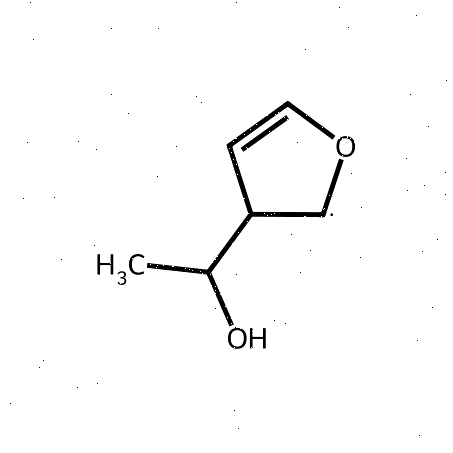 CC(O)C1[CH]OC=C1